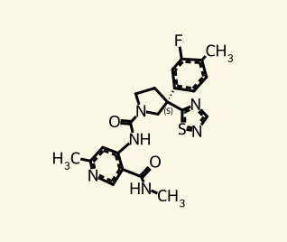 CNC(=O)c1cnc(C)cc1NC(=O)N1CC[C@@](c2ccc(C)c(F)c2)(c2ncns2)C1